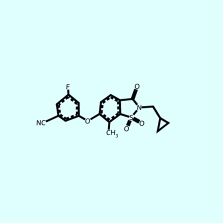 Cc1c(Oc2cc(F)cc(C#N)c2)ccc2c1S(=O)(=O)N(CC1CC1)C2=O